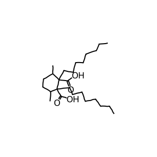 CCCCCCCCC1(C(=O)O)C(C)CCC(C)C1(CCCCCCCC)C(=O)O